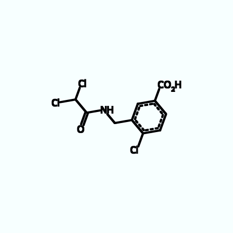 O=C(O)c1ccc(Cl)c(CNC(=O)C(Cl)Cl)c1